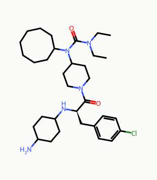 CCN(CC)C(=O)N(C1CCCCCCC1)C1CCN(C(=O)[C@@H](Cc2ccc(Cl)cc2)NC2CCC(N)CC2)CC1